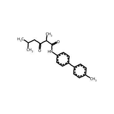 Cc1ccc(-c2ccc(NC(=O)C(C)C(=O)CC(C)C)cc2)cc1